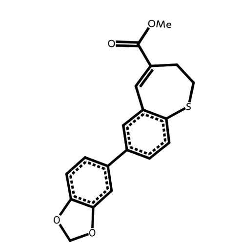 COC(=O)C1=Cc2cc(-c3ccc4c(c3)OCO4)ccc2SCC1